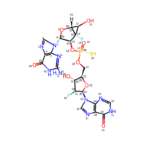 Nc1nc2c(ncn2[C@@H]2O[C@@H]3C(O)[C@@]3(F)[C@H]2O[P@](=O)(S)OC[C@H]2O[C@@H](n3cnc4c(=O)[nH]cnc43)[C@@H](F)[C@@H]2O)c(=O)[nH]1